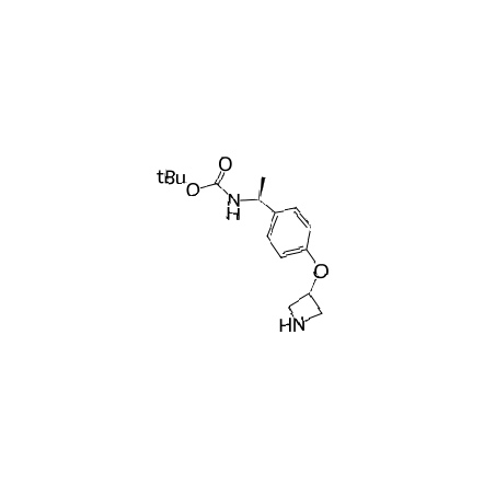 C[C@H](NC(=O)OC(C)(C)C)c1ccc(OC2CNC2)cc1